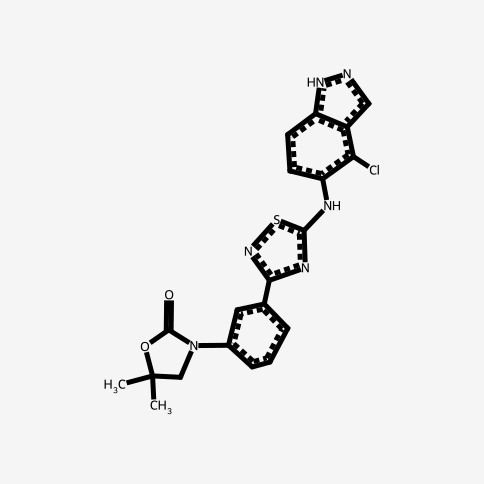 CC1(C)CN(c2cccc(-c3nsc(Nc4ccc5[nH]ncc5c4Cl)n3)c2)C(=O)O1